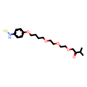 CC(C)C(=O)COCCOCCOCCCCOc1ccc(NS)cc1